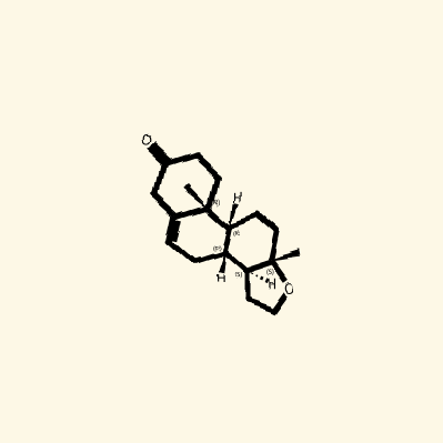 C[C@]12CCC(=O)CC1=CC[C@@H]1[C@H]2CC[C@]2(C)OCC[C@@H]12